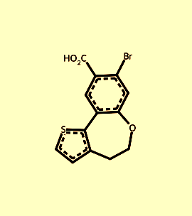 O=C(O)c1cc2c(cc1Br)OCCc1ccsc1-2